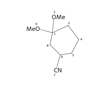 COC1(OC)CCCC(C#N)C1